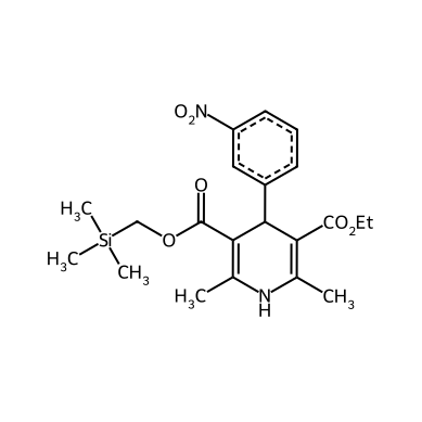 CCOC(=O)C1=C(C)NC(C)=C(C(=O)OC[Si](C)(C)C)C1c1cccc([N+](=O)[O-])c1